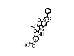 CCOc1c(C(=O)NC2CCN(C(=O)CO)CC2)sc2cc(C)n(CC(=O)c3ccccc3)c(=O)c12